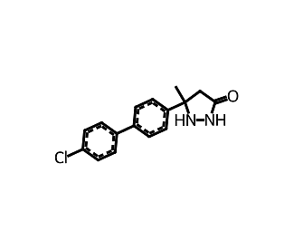 CC1(c2ccc(-c3ccc(Cl)cc3)cc2)CC(=O)NN1